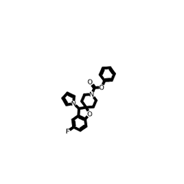 O=C(Oc1ccccc1)N1CCC2(CC1)Oc1ccc(F)cc1C2n1cccc1